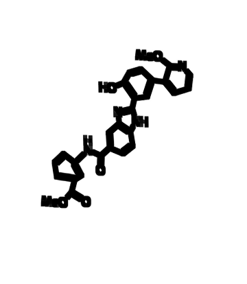 COC(=O)c1cccc(NC(=O)c2ccc3[nH]c(-c4cc(-c5cccnc5OC)ccc4O)nc3c2)c1